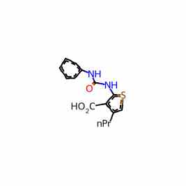 CCCc1csc(NC(=O)Nc2ccccc2)c1C(=O)O